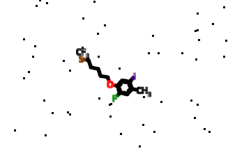 Cc1cc(F)c(OCCCCCSC(F)(F)F)cc1I